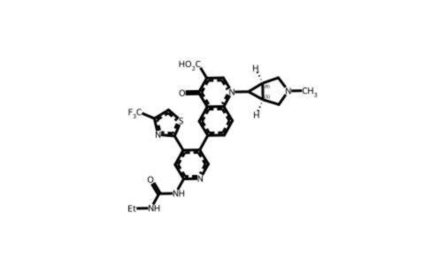 CCNC(=O)Nc1cc(-c2nc(C(F)(F)F)cs2)c(-c2ccc3c(c2)c(=O)c(C(=O)O)cn3C2[C@H]3CN(C)C[C@@H]23)cn1